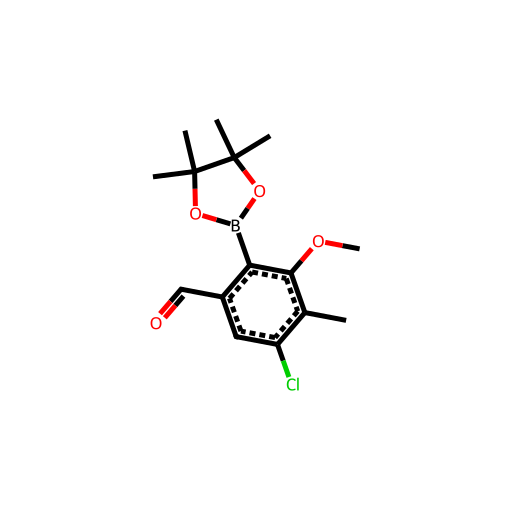 COc1c(C)c(Cl)cc(C=O)c1B1OC(C)(C)C(C)(C)O1